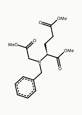 COC(=O)CC[C@@H](C(=O)OC)N(CC(=O)OC)Cc1ccccc1